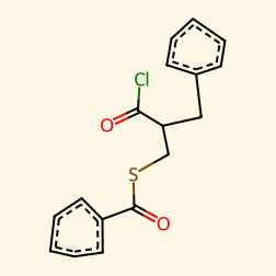 O=C(SCC(Cc1ccccc1)C(=O)Cl)c1ccccc1